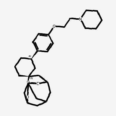 c1cc([C@@H]2CCC[C@]3(CC4CC5CC(C4)CC(C5)OO3)C2)ccc1OCCN1CCCCC1